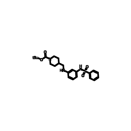 CC(C)(C)OC(=O)N1CCC(CNc2cccc(NS(=O)(=O)c3ccccc3)c2)CC1